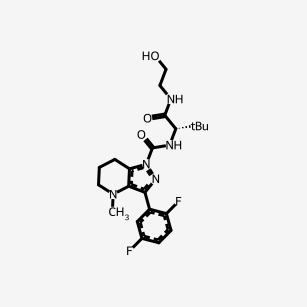 CN1CCCc2c1c(-c1cc(F)ccc1F)nn2C(=O)N[C@H](C(=O)NCCO)C(C)(C)C